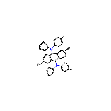 CC1=CCC(N(c2ccccc2)c2c3ccc(C(C)C)cc3c(N(c3ccccc3)c3ccc(C)cc3)c3ccc(C(C)C)cc23)C=C1